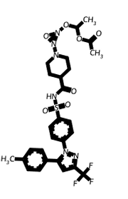 CC(=O)OC(C)On1on1N1CCC(C(=O)NS(=O)(=O)c2ccc(-n3nc(C(F)(F)F)cc3-c3ccc(C)cc3)cc2)CC1